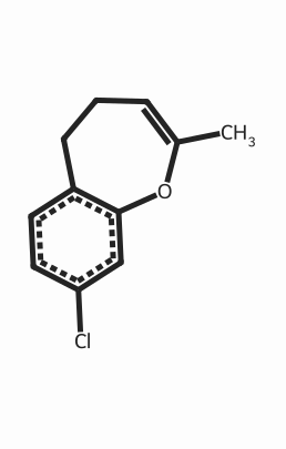 CC1=CCCc2ccc(Cl)cc2O1